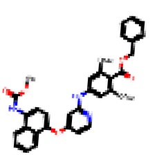 COc1cc(Nc2cc(Oc3ccc(NC(=O)OC(C)(C)C)c4ccccc34)ccn2)cc(OC)c1C(=O)OCc1ccccc1